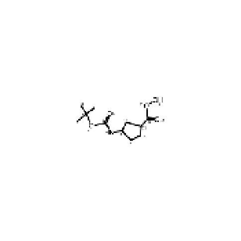 CC(C)(C)OC(=O)NC1CCC(C(=O)OO)C1